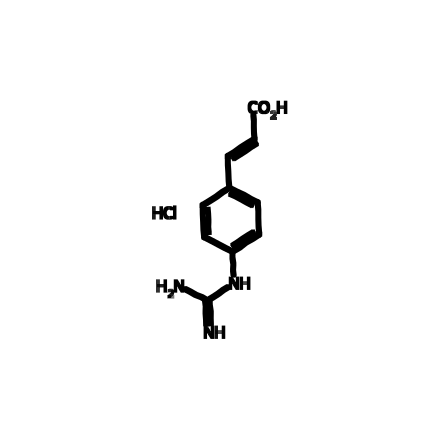 Cl.N=C(N)Nc1ccc(C=CC(=O)O)cc1